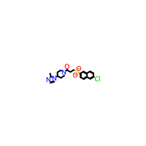 Cc1nccn1C1CCN(C(=O)CCS(=O)(=O)c2ccc3cc(Cl)ccc3c2)CC1